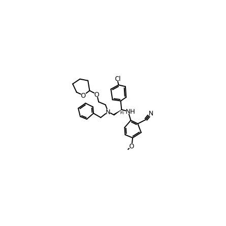 COc1ccc(N[C@@H](CN(CCOC2CCCCO2)Cc2ccccc2)c2ccc(Cl)cc2)c(C#N)c1